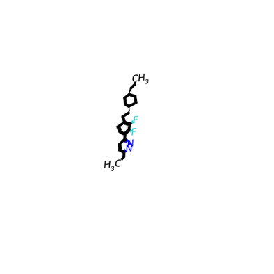 CCC[C@H]1CC[C@H](CCc2ccc(-c3ccc(CC)nn3)c(F)c2F)CC1